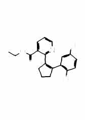 CCOC(=O)c1cccnc1C1=C(c2cc(Cl)ccc2O)CCC1